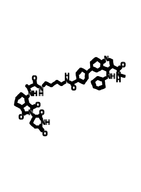 CNC(=O)c1cnc2ccc(-c3ccc(C(=O)NCCCCNC(=O)C(C)Nc4cccc5c4C(=O)N(C4CCC(=O)NC4=O)C5=O)cc3)cc2c1Nc1ccccc1